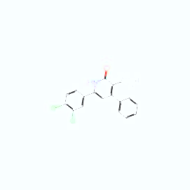 O=C(O)c1c(-c2ccccc2)cc(-c2ccc(Cl)c(Cl)c2)[nH]c1=O